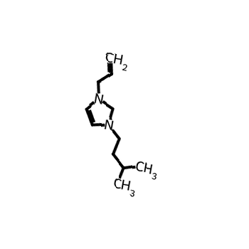 C=CCN1C=CN(CCC(C)C)C1